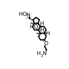 C[C@]12CC[C@H](OCCN)C[C@H]1CC[C@@H]1[C@@H]2CC[C@]2(C)[C@@H](/C=N/O)CC[C@]12O